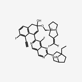 C#Cc1c(F)ccc2c1C(c1ncc3cnc(N4CC5CCC(CC)(C4)N5)nc3c1F)=CC(O)(OC[C@@]13CCCN1CC(=C(F)F)C3)C2